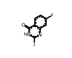 O=c1[nH]c(I)nc2cc(F)ccc12